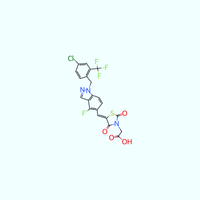 O=C(O)CN1C(=O)S/C(=C\c2ccc3c(cnn3Cc3ccc(Cl)cc3C(F)(F)F)c2F)C1=O